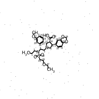 CCCN(CCN1C[C@H](c2ccc3c(c2)OCO3)[C@H](C(=O)O)[C@H]1c1ccc(OC)cc1)S(=O)(=O)CCOCC